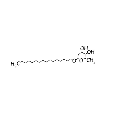 CCCCCCCCCCCCCCCCO[C@H]1CC(O)[C@@H](O)C(C)O1